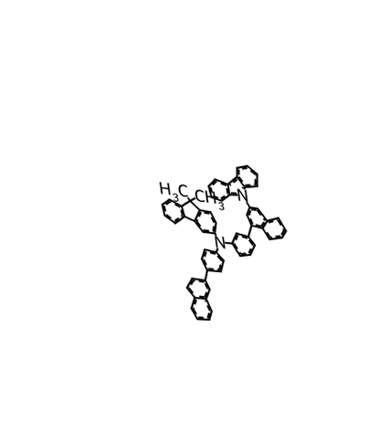 CC1(C)c2ccccc2-c2cc(N(c3ccc(-c4ccc5ccccc5c4)cc3)c3cccc(-c4cc(-n5c6ccccc6c6ccccc65)cc5ccccc45)c3)ccc21